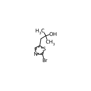 CC(C)(O)Cc1cnc(Br)s1